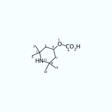 CC1(C)CC(OC(=O)O)CC(C)(C)N1